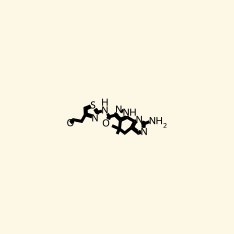 CC1(C)Cc2cnc(N)nc2-c2[nH]nc(C(=O)Nc3nc(CC=O)cs3)c21